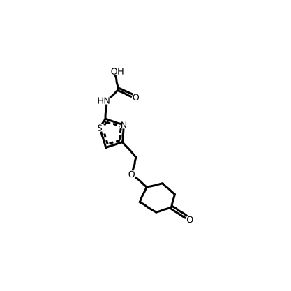 O=C1CCC(OCc2csc(NC(=O)O)n2)CC1